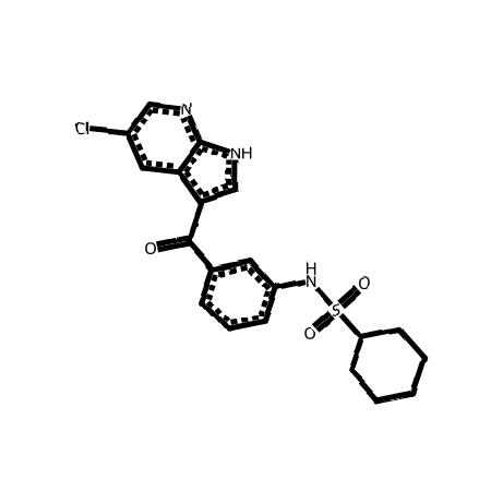 O=C(c1cccc(NS(=O)(=O)C2CCCCC2)c1)c1c[nH]c2ncc(Cl)cc12